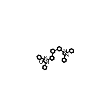 c1ccc(-c2cc(-c3cccc(-c4cccc(-c5cccc(-c6nc(-c7ccccc7)c7oc8ccccc8c7n6)c5)c4)c3)nc(-c3ccccc3)n2)cc1